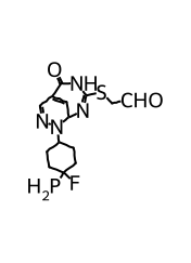 O=CCSC1=NC2C=C(C=NN2C2CCC(F)(P)CC2)C(=O)N1